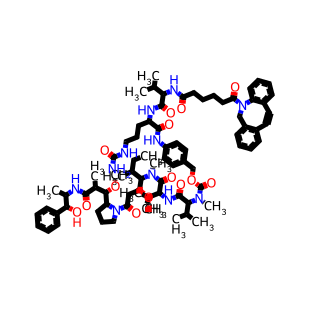 CCC(C)C(C(CC(=O)N1CCCC1C(OC)C(C)C(=O)NC(C)C(O)c1ccccc1)OC)N(C)C(=O)C(NC(=O)C(C(C)C)N(C)C(=O)OCc1ccc(NC(=O)C(CCCNC(N)=O)NC(=O)C(NC(=O)CCCCC(=O)N2Cc3ccccc3C#Cc3ccccc32)C(C)C)cc1)C(C)C